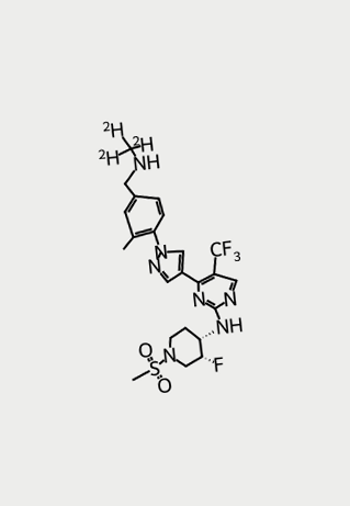 [2H]C([2H])([2H])NCc1ccc(-n2cc(-c3nc(N[C@H]4CCN(S(C)(=O)=O)C[C@H]4F)ncc3C(F)(F)F)cn2)c(C)c1